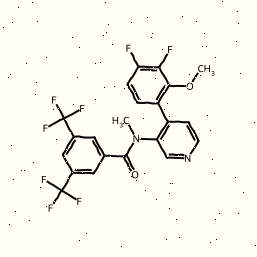 COc1c(-c2ccncc2N(C)C(=O)c2cc(C(F)(F)F)cc(C(F)(F)F)c2)ccc(F)c1F